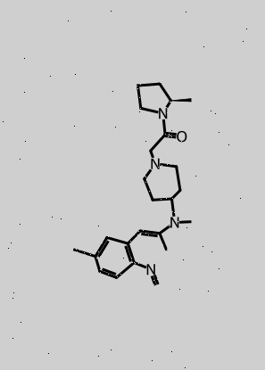 C=Nc1ccc(C)cc1/C=C(\C)N(C)C1CCN(CC(=O)N2CCC[C@H]2C)CC1